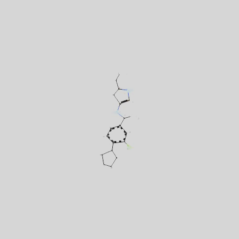 CCC1CC(NC(C)c2ccc(C3CCCC3)c(F)c2)=CN1